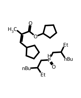 CC(=CC1CCCC1)C(=O)OC1CCCC1.CCCCC(CC)C[PH](=O)CC(CC)CCCC